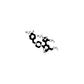 C=C(/C(=C\C(C#N)=C/C)c1cn(C)nc1C)N1CCN(CC2=CCC(C)(F)C=C2)CC1